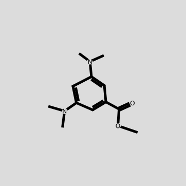 COC(=O)c1cc(N(C)C)cc(N(C)C)c1